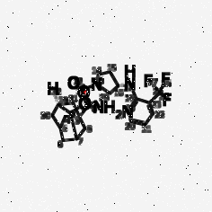 NC(=O)[C@]12CC3CC(C1)C(OC(=O)N1CC[C@H](Nc4ncccc4C(F)(F)F)C1)[C@@H](C3)C2